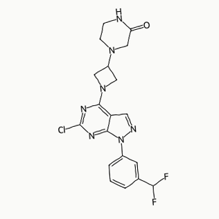 O=C1CN(C2CN(c3nc(Cl)nc4c3cnn4-c3cccc(C(F)F)c3)C2)CCN1